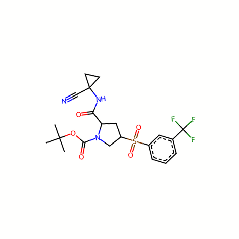 CC(C)(C)OC(=O)N1CC(S(=O)(=O)c2cccc(C(F)(F)F)c2)CC1C(=O)NC1(C#N)CC1